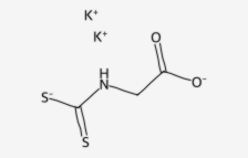 O=C([O-])CNC(=S)[S-].[K+].[K+]